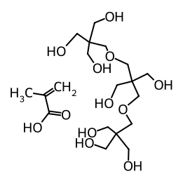 C=C(C)C(=O)O.OCC(CO)(CO)COCC(CO)(CO)COCC(CO)(CO)CO